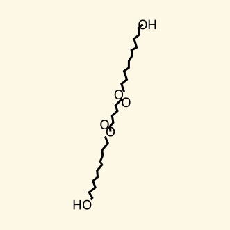 O=C(CCCCC(=O)OCCCCCCCCCCCCO)OCCCCCCCCCCCCO